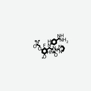 COc1cc(OCC(=O)N(C)C)c(F)c(C(Nc2ccc(C(=N)N)cc2)c2nn(-c3ncccn3)c(=O)[nH]2)c1